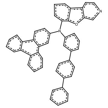 c1ccc(-c2ccc(-c3cccc(N(c4ccc5c6ccccc6c6ccccc6c5c4)c4cccc5c4oc4cnccc45)c3)cc2)cc1